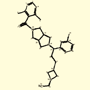 Cc1ncnc(C)c1C(=O)N1CC2CN(C(CCC3CN(CC#N)C3)c3cccc(F)c3)CC2C1